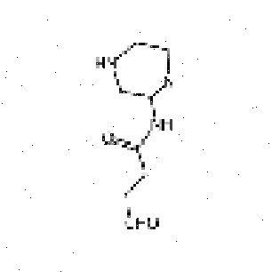 O=CCCC(=O)NC1CNCC[N]1